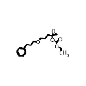 CCOC(=O)OC1(CCCOCCCc2ccccc2)CO1